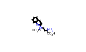 N[C@@H](CCN(C(=O)O)c1ccc2ccccc2n1)C(=O)O